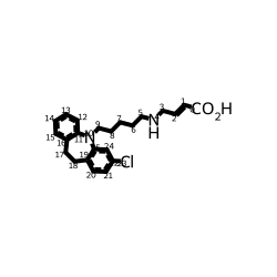 O=C(O)/C=C/CNCCCCCN1c2ccccc2CCc2ccc(Cl)cc21